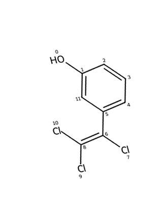 Oc1cccc(C(Cl)=C(Cl)Cl)c1